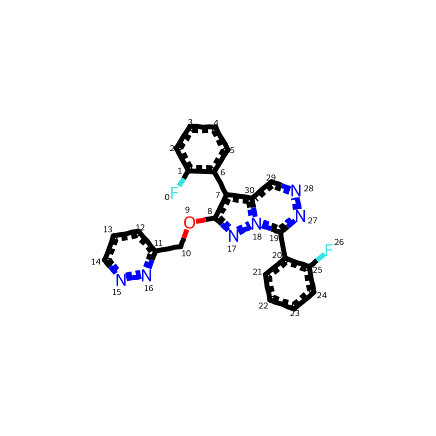 Fc1ccccc1-c1c(OCc2cccnn2)nn2c(-c3ccccc3F)nncc12